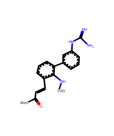 COC(=O)C=Cc1[c]ccc(-c2cccc(NC(=N)N)c2)c1NC=O